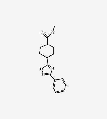 COC(=O)C1CCC(c2nc(-c3cccnc3)no2)CC1